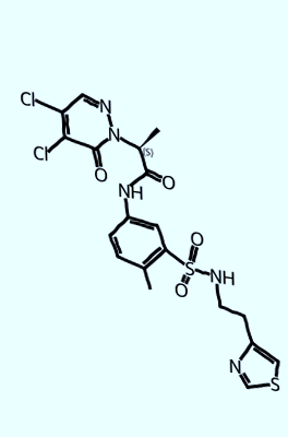 Cc1ccc(NC(=O)[C@H](C)n2ncc(Cl)c(Cl)c2=O)cc1S(=O)(=O)NCCc1cscn1